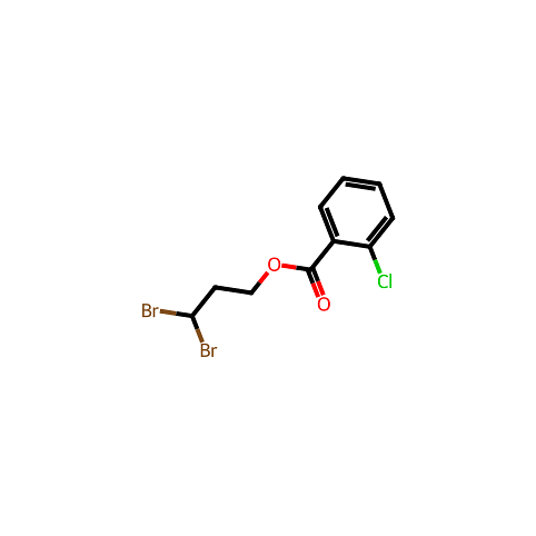 O=C(OCCC(Br)Br)c1ccccc1Cl